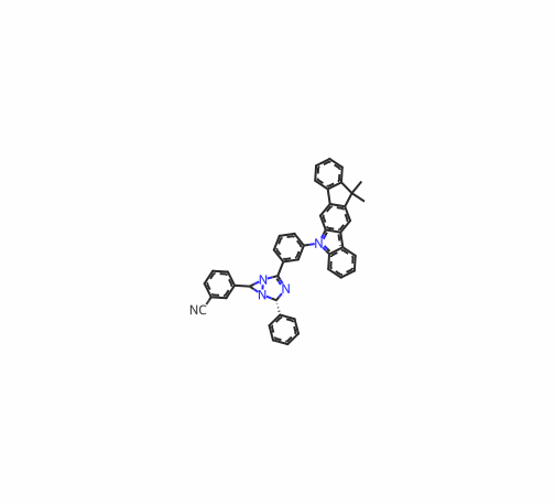 CC1(C)c2ccccc2-c2cc3c(cc21)c1ccccc1n3-c1cccc(C2=N[C@H](c3ccccc3)N3C(c4cccc(C#N)c4)N23)c1